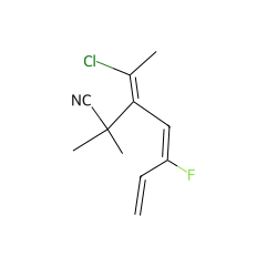 C=C/C(F)=C\C(=C(/C)Cl)C(C)(C)C#N